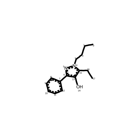 CCCCn1nc(-c2ccccc2)c(O)c1CC